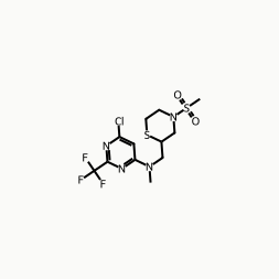 CN(CC1CN(S(C)(=O)=O)CCS1)c1cc(Cl)nc(C(F)(F)F)n1